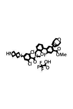 COC(=O)c1cc(F)c(-c2cccc3c2OCN(C(=O)c2c(Cl)cc(N4CC5(CNC5)C4)cc2Cl)C3)cc1N1C2CCC1COC2.O=C(O)C(F)(F)F